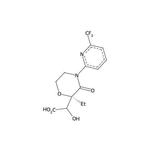 CC[C@]1(C(O)C(=O)O)OCCN(c2cccc(C(F)(F)F)n2)C1=O